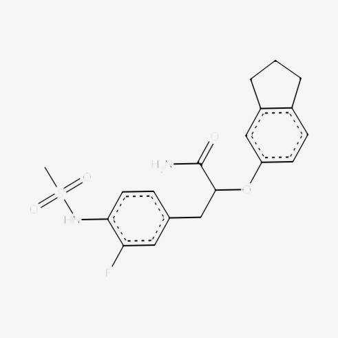 CS(=O)(=O)Nc1ccc(CC(Oc2ccc3c(c2)CCC3)C(N)=O)cc1F